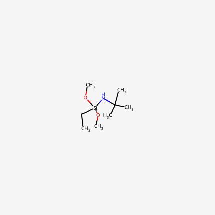 CC[Si](NC(C)(C)C)(OC)OC